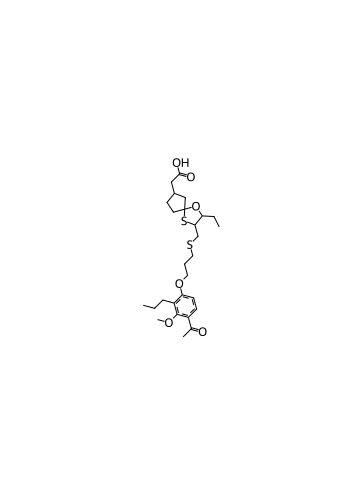 CCCc1c(OCCCSCC2SC3(CCC(CC(=O)O)C3)OC2CC)ccc(C(C)=O)c1OC